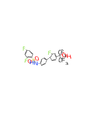 O=S(=O)(Nc1ccc(-c2ccc(C(O)(C(F)(F)F)C(F)(F)F)cc2F)cc1)c1ccc(F)cc1F